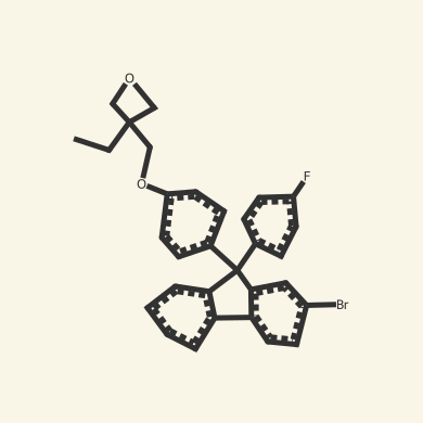 CCC1(COc2ccc(C3(c4ccc(F)cc4)c4ccccc4-c4ccc(Br)cc43)cc2)COC1